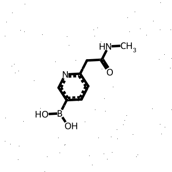 CNC(=O)Cc1ccc(B(O)O)cn1